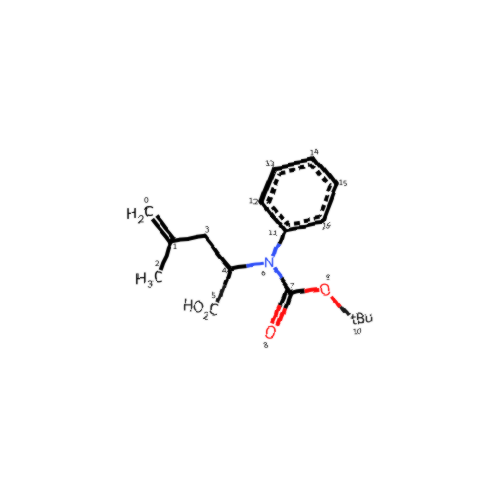 C=C(C)CC(C(=O)O)N(C(=O)OC(C)(C)C)c1ccccc1